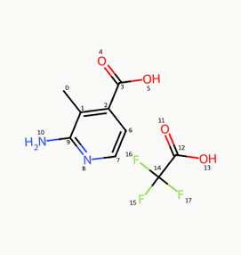 Cc1c(C(=O)O)ccnc1N.O=C(O)C(F)(F)F